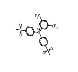 CS(=O)(=O)c1ccc([SH](c2ccc(S(C)(=O)=O)cc2)c2cc(C(F)(F)F)cc(C(F)(F)F)c2)cc1